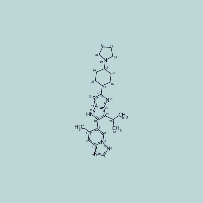 Cc1cc2ncnn2cc1-c1[nH]c2sc(C3CCC(N4CCCC4)CC3)nc2c1C(C)C